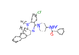 C=C1C(Cc2ccc3ccccc3c2)N=C(N2CCC(NC(=O)c3ccccc3)CC2)c2cc(Cl)ccc2N1C